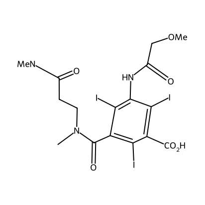 CNC(=O)CCN(C)C(=O)c1c(I)c(NC(=O)COC)c(I)c(C(=O)O)c1I